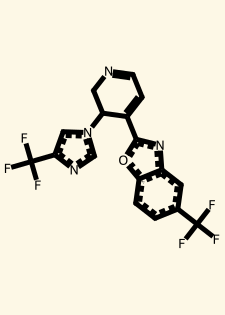 FC(F)(F)c1ccc2oc(C3=CC=NCC3n3cnc(C(F)(F)F)c3)nc2c1